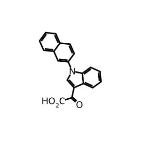 O=C(O)C(=O)c1cn(-c2ccc3ccccc3c2)c2ccccc12